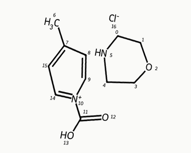 C1COCCN1.Cc1cc[n+](C(=O)O)cc1.[Cl-]